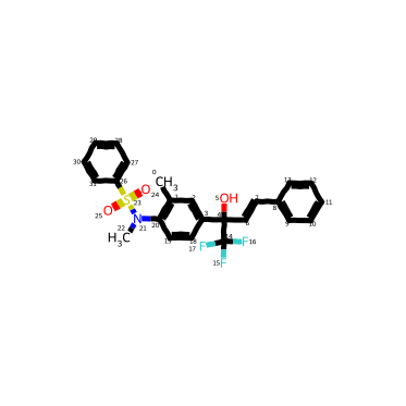 Cc1cc(C(O)(/C=C/c2ccccc2)C(F)(F)F)ccc1N(C)S(=O)(=O)c1ccccc1